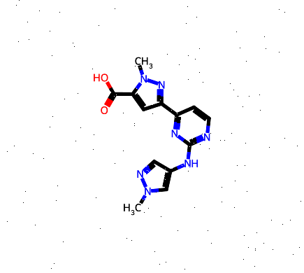 Cn1cc(Nc2nccc(-c3cc(C(=O)O)n(C)n3)n2)cn1